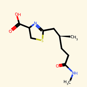 CNC(=O)CC[C@H](C)CC1=NC(C(=O)O)CS1